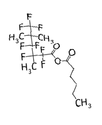 CCCCCC(=O)OC(=O)C(F)(F)C(C)(F)C(F)(F)C(C)(C)C(F)(F)F